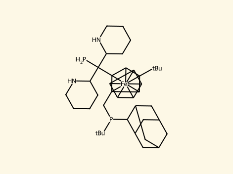 CC(C)(C)P(C[C]12[CH]3[C]4(C(C)(C)C)[CH]5[C]1(C(P)(C1CCCCN1)C1CCCCN1)[Fe]35241678[CH]2[CH]1[CH]6[CH]7[CH]28)C1C2CC3CC(C2)CC1C3